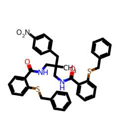 CC(CNC(=O)c1ccccc1SCc1ccccc1)(CNC(=O)c1ccccc1SCc1ccccc1)Cc1ccc([N+](=O)[O-])cc1